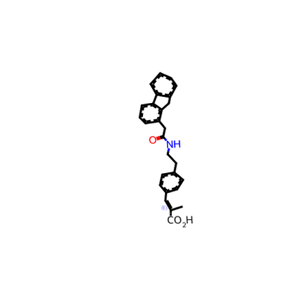 C/C(=C\c1ccc(CCNC(=O)Cc2cccc3c2Cc2ccccc2-3)cc1)C(=O)O